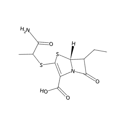 CCC1C(=O)N2C(C(=O)O)=C(SC(C)C(N)=O)S[C@H]12